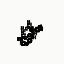 CC(=O)Nc1cc(Oc2ccc(NC(=O)Nc3cc(C(C)C)nn3-c3ccc4ncccc4c3)c(F)c2)ccn1